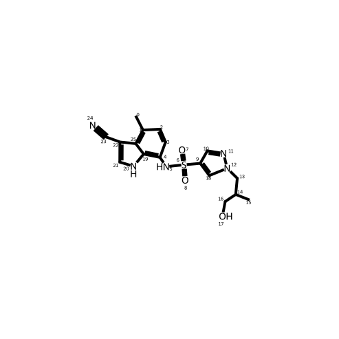 Cc1ccc(NS(=O)(=O)c2cnn(CC(C)CO)c2)c2[nH]cc(C#N)c12